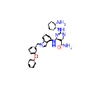 NC(=O)c1cnc(N[C@@H]2CCCC[C@@H]2N)nc1Nc1cccc2c1ccn2Cc1cccc(Oc2ccccc2)c1